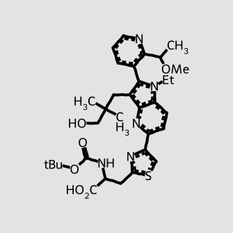 CCn1c(-c2cccnc2C(C)OC)c(CC(C)(C)CO)c2nc(-c3csc(CC(NC(=O)OC(C)(C)C)C(=O)O)n3)ccc21